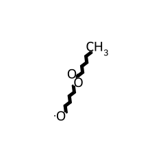 CCCCCCC(=O)OCCCCCC[O]